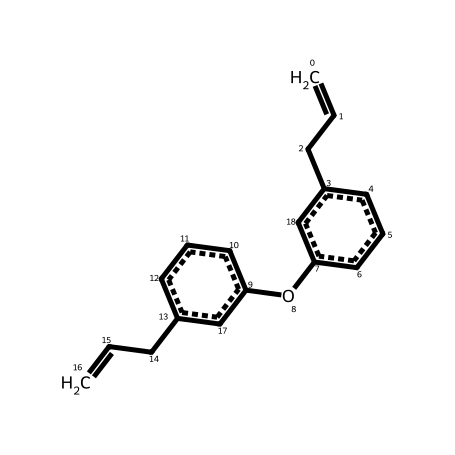 C=CCc1cccc(Oc2cccc(CC=C)c2)c1